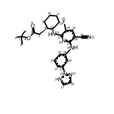 CC(C)(C)OC(=O)C[C@H]1CCCC[C@H]1Nc1nc(Nc2cccc(-n3nccn3)c2)c(C#N)cc1F